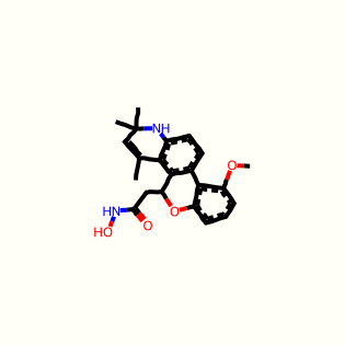 COc1cccc2c1-c1ccc3c(c1C(CC(=O)NO)O2)C(C)=CC(C)(C)N3